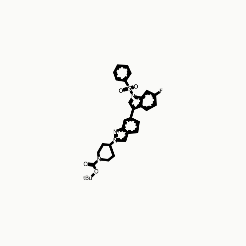 CC(C)(C)OC(=O)N1CCC(n2cc3ccc(-c4cn(S(=O)(=O)c5ccccc5)c5cc(F)ccc45)cc3n2)CC1